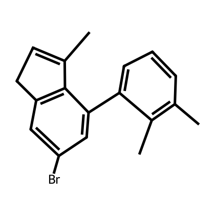 CC1=CCc2cc(Br)cc(-c3cccc(C)c3C)c21